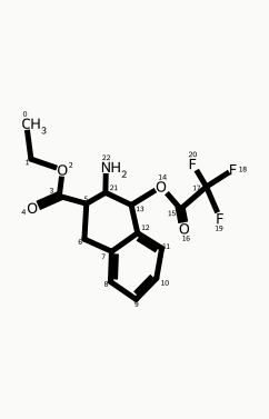 CCOC(=O)C1Cc2ccccc2C(OC(=O)C(F)(F)F)C1N